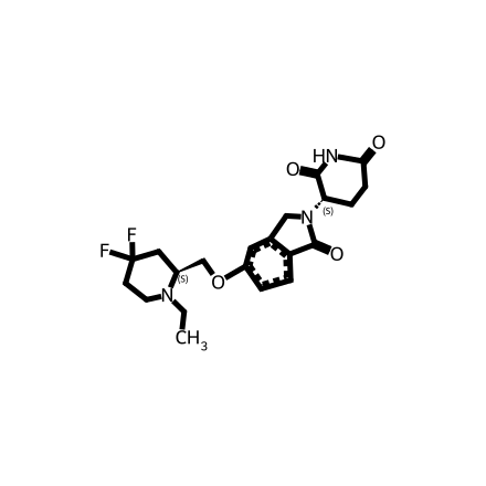 CCN1CCC(F)(F)C[C@H]1COc1ccc2c(c1)CN([C@H]1CCC(=O)NC1=O)C2=O